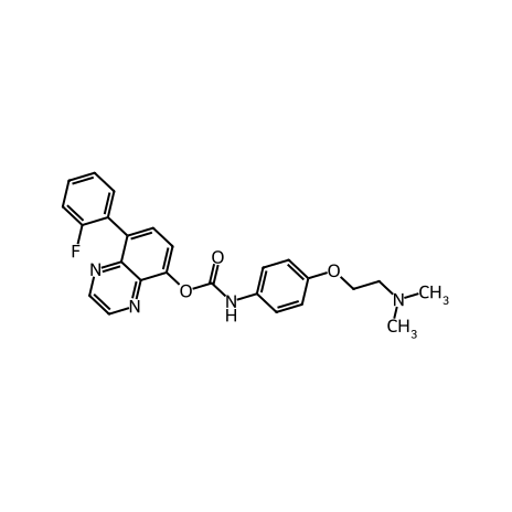 CN(C)CCOc1ccc(NC(=O)Oc2ccc(-c3ccccc3F)c3nccnc23)cc1